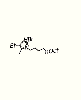 Br.CCCCCCCCCCCCn1ccc(CC)c1C